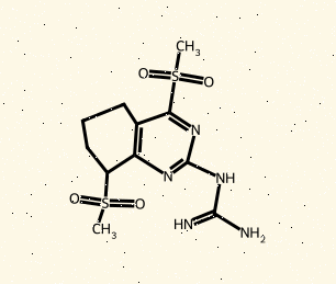 CS(=O)(=O)c1nc(NC(=N)N)nc2c1CCCC2S(C)(=O)=O